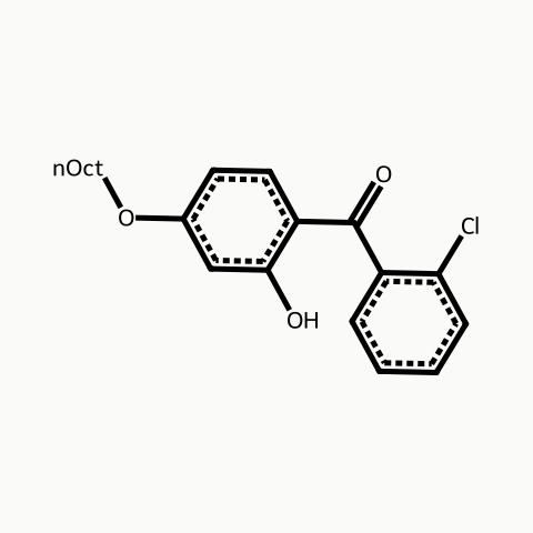 CCCCCCCCOc1ccc(C(=O)c2ccccc2Cl)c(O)c1